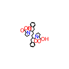 O=C(O)C1CCCN1C(=O)C(CCC(Cc1ccccc1)C(=O)N1CCCC1C(=O)O)Cc1ccccc1